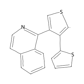 [c]1scc(-c2nccc3ccccc23)c1-c1cccs1